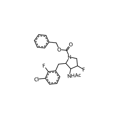 CC(=O)NC1C(F)CN(C(=O)OCc2ccccc2)C1Cc1cccc(Cl)c1F